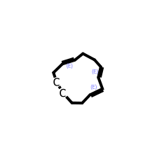 C1=C/CC/C=C/CCCCC/C=C/1